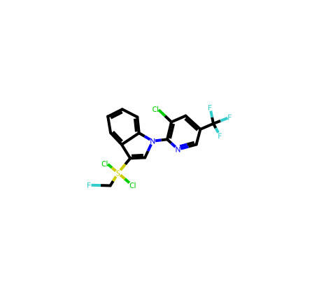 FCS(Cl)(Cl)c1cn(-c2ncc(C(F)(F)F)cc2Cl)c2ccccc12